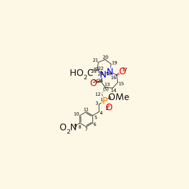 COP(=O)(CCc1ccc([N+](=O)[O-])cc1)C[C@H]1CCC(=O)N2CCC[C@@H](C(=O)O)N2C1=O